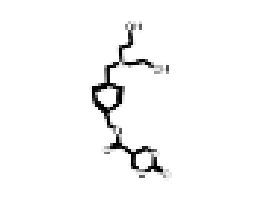 O=C1OCC(C(=O)OCc2ccc(CN(CCO)CCO)cc2)CO1